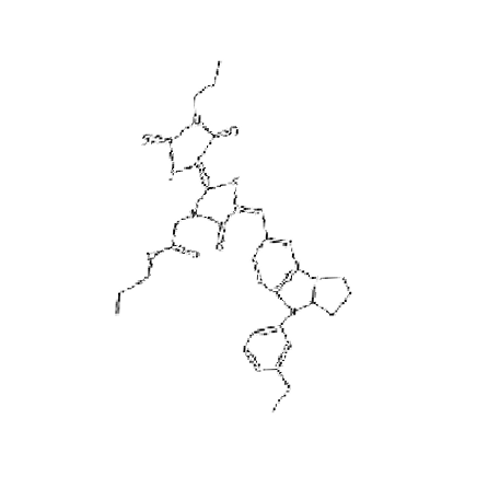 CCCOC(=O)Cn1c(=O)/c(=C\c2ccc3c(c2)C2CCCC2N3c2cccc(SC)c2)s/c1=C1/SC(=S)N(CCC)C1=O